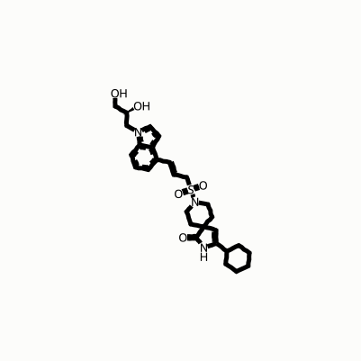 O=C1NC(C2CCCCC2)=CC12CCN(S(=O)(=O)C/C=C/c1cccc3c1ccn3C[C@H](O)CO)CC2